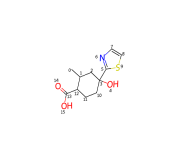 CC1CC(O)(c2nccs2)CCC1C(=O)O